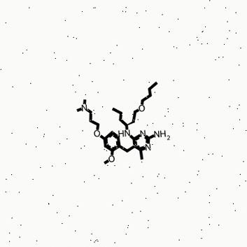 CCCCOCC[C@H](CCC)Nc1nc(N)nc(C)c1Cc1ccc(OCCCN(C)C)cc1OC